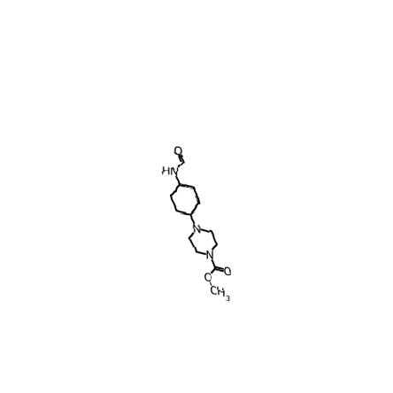 COC(=O)N1CCN(C2CCC(NC=O)CC2)CC1